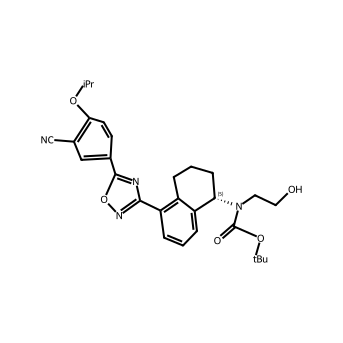 CC(C)Oc1ccc(-c2nc(-c3cccc4c3CCC[C@@H]4N(CCO)C(=O)OC(C)(C)C)no2)cc1C#N